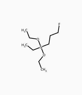 CCO[Si](CC)(CCCF)OCC